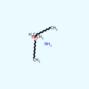 CCCCCCCCCCCCOC(=O)C(C)(C)CCCCCCCCCC.N